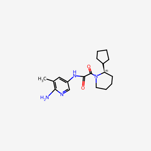 Cc1cc(NC(=O)C(=O)N2CCCC[C@@H]2C2CCCC2)cnc1N